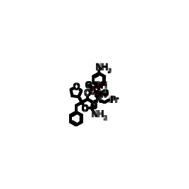 CC(C)CN(CC(OP(=O)(O)O)C(Cc1ccccc1)(OC(N)=O)C1CCOC1)S(=O)(=O)c1ccc(N)cc1